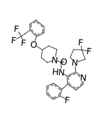 O=C(Nc1c(-c2ccccc2F)ccnc1N1CCC(F)(F)C1)N1CCC(Oc2ccccc2C(F)(F)F)CC1